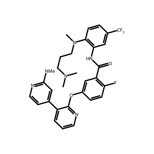 CNc1cc(-c2cccnc2Oc2ccc(F)c(C(=O)Nc3cc(C(F)(F)F)ccc3N(C)CCCN(C)C)c2)ccn1